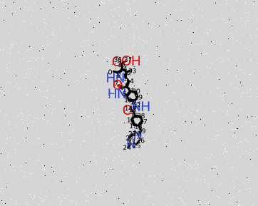 Cc1[nH]c(C=C2C(=O)Nc3cc(NC(=O)c4ccc(CN5CCN(C)CC5)cc4)ccc32)c(C)c1C(=O)O